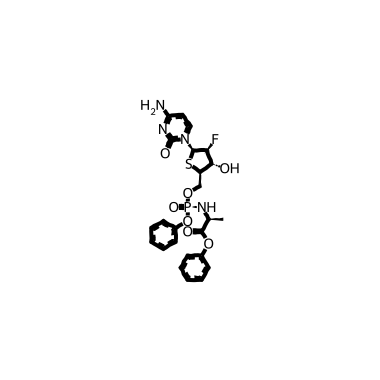 C[C@H](N[P@](=O)(OC[C@H]1S[C@@H](n2ccc(N)nc2=O)[C@@H](F)[C@@H]1O)Oc1ccccc1)C(=O)Oc1ccccc1